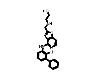 OCCNCc1nc2c(Nc3cccc(-c4ccccc4)c3Cl)nccc2o1